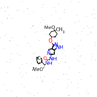 COC[C@@H](NC(=O)Nc1cc2[nH]nc(OC3CCC(C)(OC)CC3)c2cn1)c1ccccc1